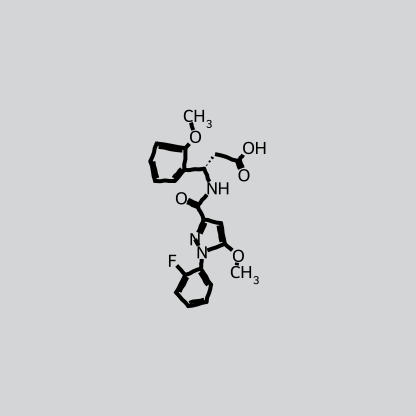 COc1ccccc1[C@H](CC(=O)O)NC(=O)c1cc(OC)n(-c2ccccc2F)n1